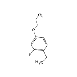 CCCOc1ccc(CC)c(F)c1